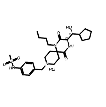 CCCCN1C(=O)[C@@H]([C@H](O)C2CCCC2)NC(=O)C12CCN(Cc1ccc(NS(C)(=O)=O)cc1)CC2.Cl